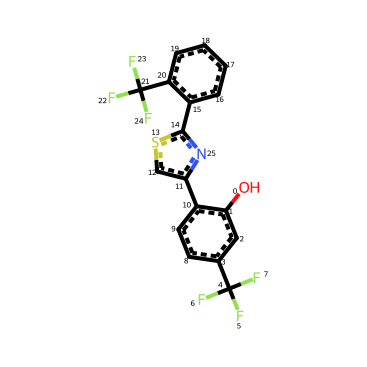 Oc1cc(C(F)(F)F)ccc1-c1csc(-c2ccccc2C(F)(F)F)n1